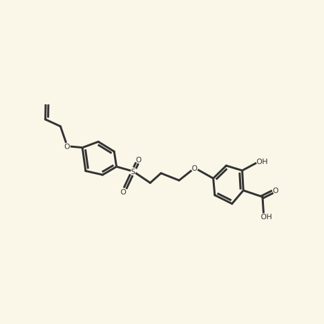 C=CCOc1ccc(S(=O)(=O)CCCOc2ccc(C(=O)O)c(O)c2)cc1